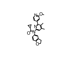 COc1cc(-c2nc(N(C(=O)C3CC3)c3ccc4c(c3)CCO4)cc(C)c2C)ccn1